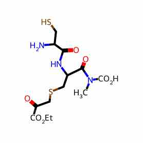 CCOC(=O)C(=O)CSCC(NC(=O)C(N)CS)C(=O)N(C)C(=O)O